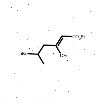 CCCCC(C)CC(O)=CC(=O)OCC